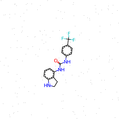 O=C(Nc1ccc(C(F)(F)F)cc1)Nc1cccc2c1CCN2